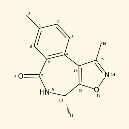 Cc1ccc2c(c1)C(=O)N[C@@H](C)c1onc(C)c1-2